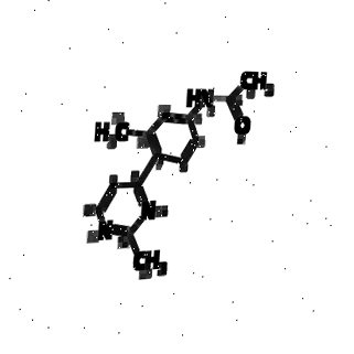 CC(=O)Nc1ccc(-c2ccnc(C)n2)c(C)c1